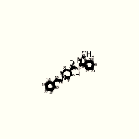 Cn1nc(NC(=O)C2CCN(CCc3ccccc3)CC2)c2ccccc21